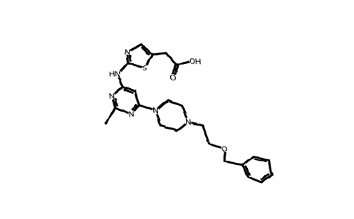 Cc1nc(Nc2ncc(CC(=O)O)s2)cc(N2CCN(CCOCc3ccccc3)CC2)n1